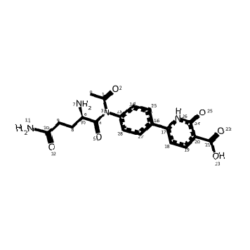 CC(=O)N(C(=O)[C@H](N)CCC(N)=O)c1ccc(-c2ccc(C(=O)O)c(=O)[nH]2)cc1